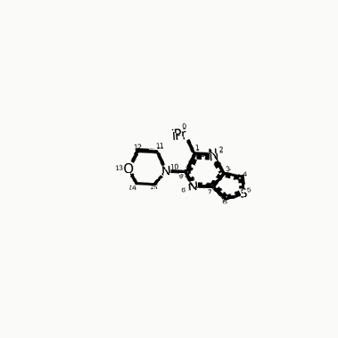 CC(C)c1nc2cscc2nc1N1CCOCC1